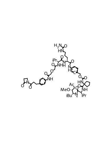 CC[C@H](C)[C@@H]([C@@H](CC(C)=O)OC)N(C)C(=O)[C@@H](NC(=O)C1(NC(=O)OCc2ccc(NC(=O)[C@H](CCCNC(N)=O)NC(=O)[C@@H](NC(=O)COCC(=O)Nc3ccc(CCC(=O)N4CCC4=O)cc3)C(C)C)cc2)CCCC1)C(C)C